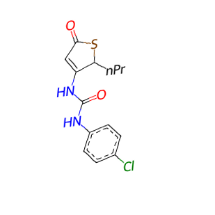 CCCC1SC(=O)C=C1NC(=O)Nc1ccc(Cl)cc1